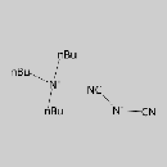 CCCC[N+](C)(CCCC)CCCC.N#C[N-]C#N